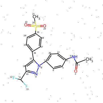 CC(=O)Nc1ccc(-n2nc(C(F)F)cc2-c2ccc(S(C)(=O)=O)cc2)cc1